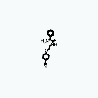 C=C(NCCOC1C=CC(C#N)=CC1)C(N)c1ccccc1